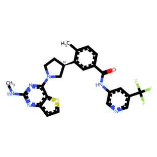 CNc1nc(N2CC[C@@H](c3cc(C(=O)Nc4cncc(C(F)(F)F)c4)ccc3C)C2)c2sccc2n1